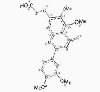 COc1ccc(-c2cc(=O)c3c(OC)c(OC)c(OCC(=O)O)cc3o2)cc1OC